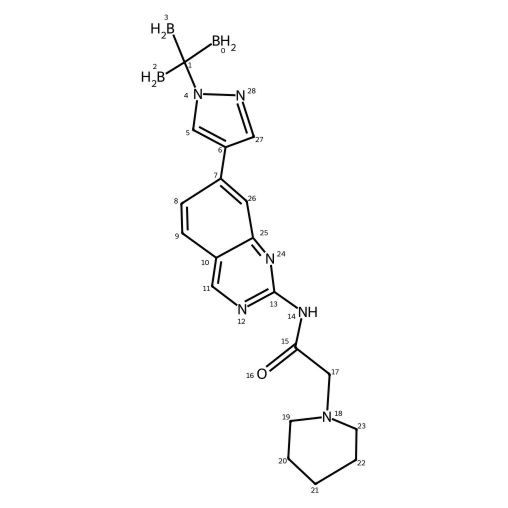 BC(B)(B)n1cc(-c2ccc3cnc(NC(=O)CN4CCCCC4)nc3c2)cn1